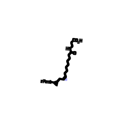 CCCCCC1CC1C/C=C\CCCCCCCC(=O)NCCC(=O)O